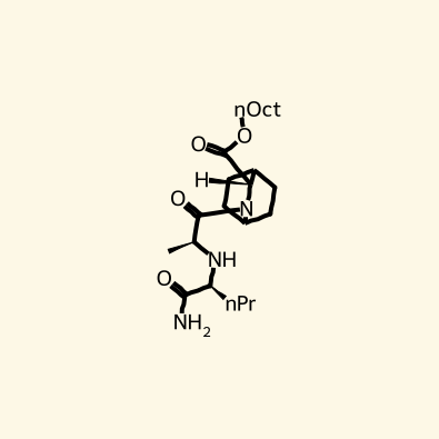 CCCCCCCCOC(=O)[C@@H]1C2CCC(CC2)N1C(=O)[C@H](C)N[C@@H](CCC)C(N)=O